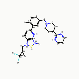 Cc1ccc(CN2CCC(c3ncccn3)CC2)cc1-c1ccc2c(n1)N(C)SN2CC1CC1(F)F